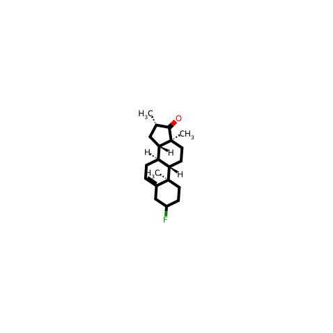 C[C@H]1C[C@H]2[C@@H]3CC=C4CC(F)CC[C@]4(C)[C@H]3CC[C@]2(C)C1=O